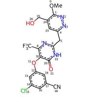 COc1nnc(Cc2nc(C(F)(F)F)c(Oc3cc(Cl)cc(C#N)c3)c(=O)[nH]2)cc1CO